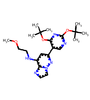 COCCNc1cc(-c2cnc(OC(C)(C)C)nc2OC(C)(C)C)nn2ccnc12